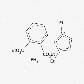 CCOC(=O)c1ccccc1C(=O)OCC.CCn1cc[n+](CC)c1.P